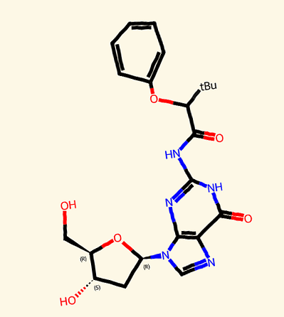 CC(C)(C)C(Oc1ccccc1)C(=O)Nc1nc2c(ncn2[C@H]2C[C@H](O)[C@@H](CO)O2)c(=O)[nH]1